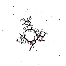 CCOC(=O)CCC(=O)O[C@H]1[C@H](O[C@@H]2[C@@H](C)[C@H](O[C@H]3C[C@@](C)(OC)[C@@H](O)[C@H](C)O3)[C@@H](C)C(=O)O[C@H](CC)[C@@](C)(O)[C@H](O)[C@@H](C)C(=O)[C@H](C)C[C@@]2(C)O)O[C@H](C)C[C@@H]1N(C)C.O